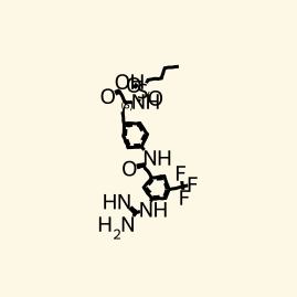 CCCCS(=O)(=O)N[C@@H](Cc1ccc(NC(=O)c2cc(NC(=N)N)cc(C(F)(F)F)c2)cc1)C(=O)O